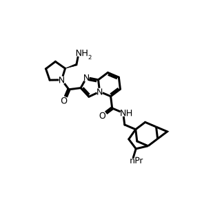 CCCC1CC2(CNC(=O)c3cccc4nc(C(=O)N5CCC[C@H]5CN)cn34)CC3CC3C1C2